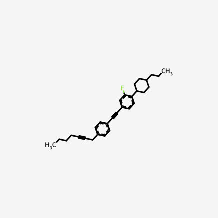 CCCCC#CCc1ccc(C#Cc2ccc(C3CCC(CCC)CC3)c(F)c2)cc1